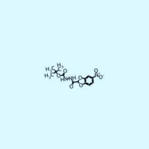 CC(C)(C)OC(=O)NNC(=O)C1Oc2ccc([N+](=O)[O-])cc2O1